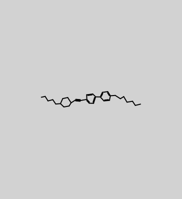 CCCCCCCc1ccc(-c2ccc(C#CC3CCC(CCCCC)CC3)cc2)cc1